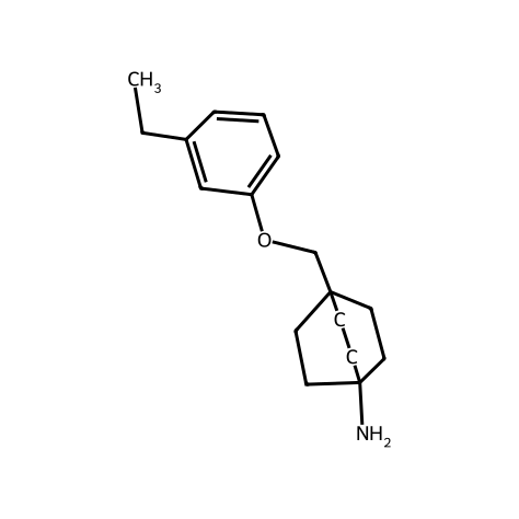 CCc1cccc(OCC23CCC(N)(CC2)CC3)c1